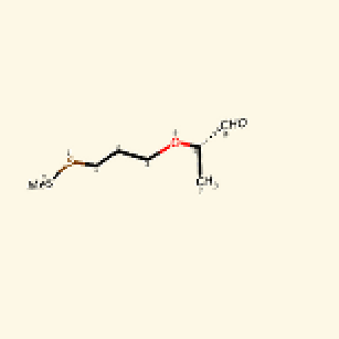 CSSCCCO[C@@H](C)C=O